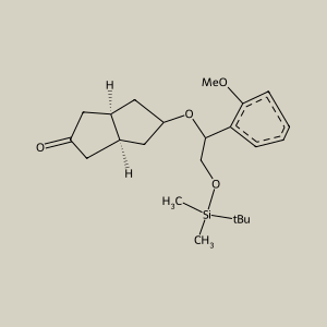 COc1ccccc1C(CO[Si](C)(C)C(C)(C)C)OC1C[C@H]2CC(=O)C[C@H]2C1